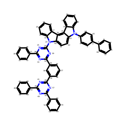 c1ccc(-c2ccc(-n3c4ccccc4c4c5c6ccccc6n(-c6nc(-c7ccccc7)nc(-c7cccc(-c8nc(-c9ccccc9)nc(-c9ccccc9)n8)c7)n6)c5ccc43)cc2)cc1